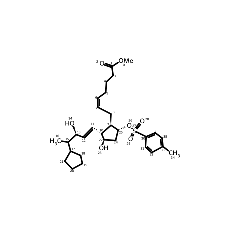 COC(=O)CCC/C=C\C[C@@H]1[C@@H](/C=C/[C@H](O)C(C)C2CCCC2)[C@H](O)C[C@H]1OS(=O)(=O)c1ccc(C)cc1